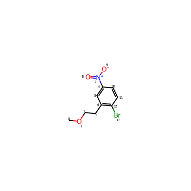 COCCc1cc([N+](=O)[O-])ccc1Br